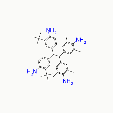 Cc1cc(C(c2cc(C)c(N)c(C)c2)C(c2ccc(N)c(C(C)(C)C)c2)c2ccc(N)c(C(C)(C)C)c2)cc(C)c1N